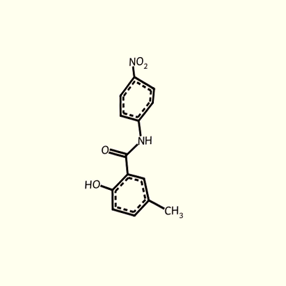 Cc1ccc(O)c(C(=O)Nc2ccc([N+](=O)[O-])cc2)c1